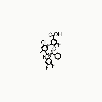 Cc1cc(Cl)ccc1-c1nc2cc(F)c(F)cc2n1C(COc1c(F)cc(C(=O)O)cc1F)C1CCCCC1